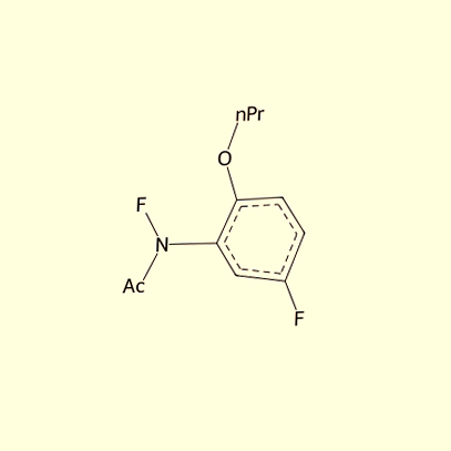 CCCOc1ccc(F)cc1N(F)C(C)=O